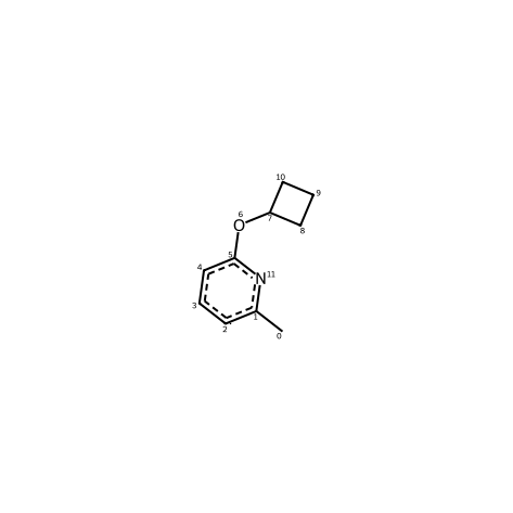 Cc1[c]ccc(OC2CCC2)n1